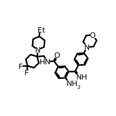 CCC1CCN(C2(CNC(=O)c3ccc(N)c(C(=N)c4ccc(N5CCOCC5)cc4)c3)CCC(F)(F)CC2)CC1